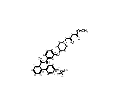 COC(=O)CC(=O)CN1CCC(Oc2cccc(NC(=O)c3ccccc3-c3ccc(OC(F)(F)F)cc3)c2)CC1